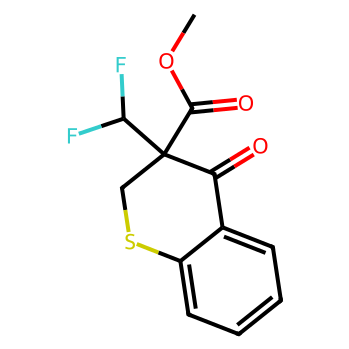 COC(=O)C1(C(F)F)CSc2ccccc2C1=O